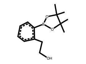 CC1(C)OB(c2ccccc2CCO)OC1(C)C